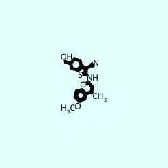 COc1cccc(C(C)CC(=O)Nc2sc3c(c2C#N)CCC(CO)C3)c1